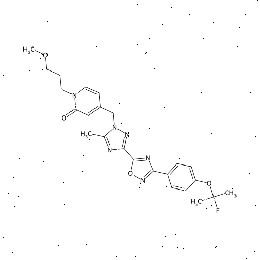 COCCCn1ccc(Cn2nc(-c3nc(-c4ccc(OC(C)(C)F)cc4)no3)nc2C)cc1=O